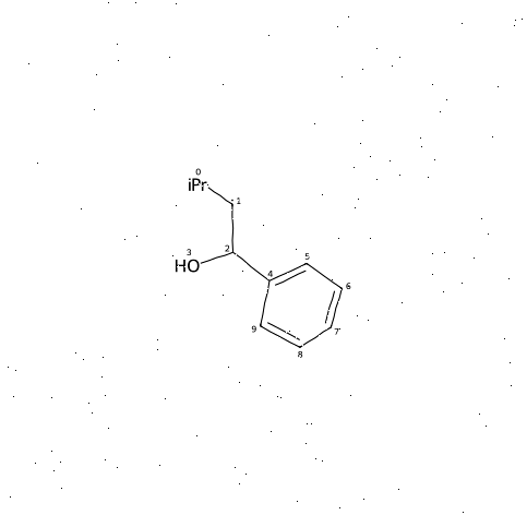 CC(C)[CH]C(O)c1ccccc1